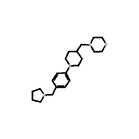 c1cc(N2CCC(CN3CCOCC3)CC2)ccc1CN1CCCC1